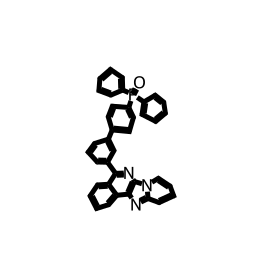 O=P(c1ccccc1)(c1ccccc1)c1ccc(-c2cccc(-c3nc4c(nc5ccccn54)c4ccccc34)c2)cc1